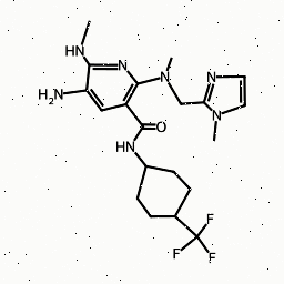 CNc1nc(N(C)Cc2nccn2C)c(C(=O)NC2CCC(C(F)(F)F)CC2)cc1N